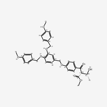 COC(=O)[C@H](C(=O)c1ccc(OCc2cc(OCc3ccc(OC)cc3)c(OCc3ccc(OC)cc3)cn2)cc1)[C@@H](C)O